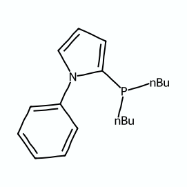 CCCCP(CCCC)c1cccn1-c1ccccc1